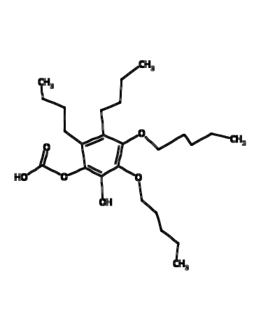 CCCCCOc1c(O)c(OC(=O)O)c(CCCC)c(CCCC)c1OCCCCC